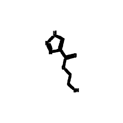 O=C(OCCS)c1c[nH]nn1